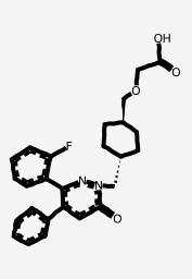 O=C(O)COC[C@H]1CC[C@H](Cn2nc(-c3ccccc3F)c(-c3ccccc3)cc2=O)CC1